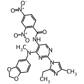 CCc1nc(C)cn1-c1ncc(NC(=O)c2ccc([N+](=O)[O-])cc2[N+](=O)[O-])c(N(C)c2ccc3c(c2)OCO3)n1